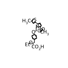 CCO[C@@H](Cc1ccc(OCCn2c(-c3cc(C)cs3)ccc2S(C)(=O)=O)cc1)C(=O)O